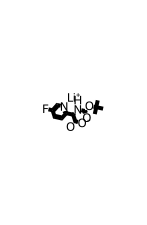 CC(C)(C)OC(=O)NC(C(=O)[O-])c1ccc(F)cn1.[Li+]